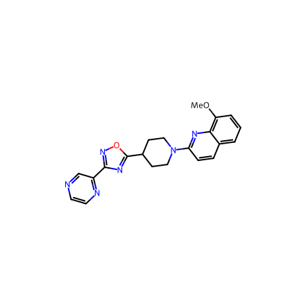 COc1cccc2ccc(N3CCC(c4nc(-c5cnccn5)no4)CC3)nc12